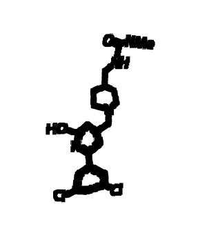 CNC(=O)NCC1CCN(Cc2cc(O)nc(-c3cc(Cl)cc(Cl)c3)c2)CC1